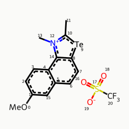 COc1ccc2c(ccc3[te]c(C)[n+](C)c32)c1.O=S(=O)([O-])C(F)(F)F